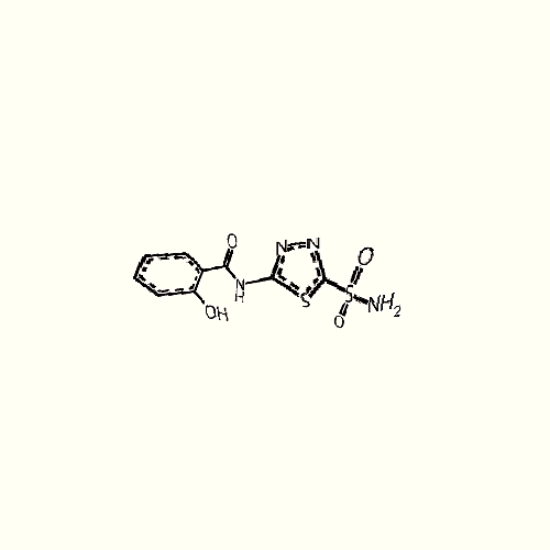 NS(=O)(=O)c1nnc(NC(=O)c2ccccc2O)s1